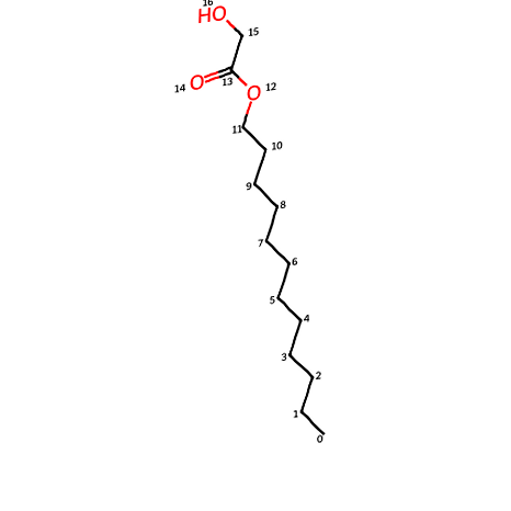 CCCCCCCCCCCCOC(=O)CO